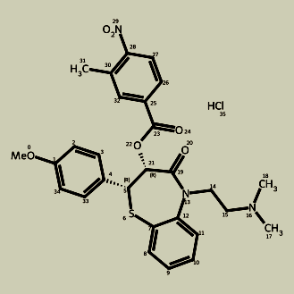 COc1ccc([C@H]2Sc3ccccc3N(CCN(C)C)C(=O)[C@H]2OC(=O)c2ccc([N+](=O)[O-])c(C)c2)cc1.Cl